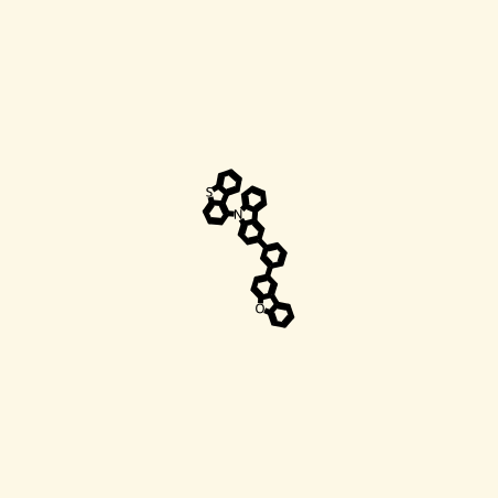 c1cc(-c2ccc3oc4ccccc4c3c2)cc(-c2ccc3c(c2)c2ccccc2n3-c2cccc3sc4ccccc4c23)c1